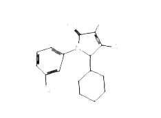 CC(=O)C1=C(O)C(=O)N(c2cccc(Br)c2)C1C1CCCCC1